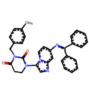 COc1ccc(CN2C(=O)CCN(c3cnc4cc(N=C(c5ccccc5)c5ccccc5)ccn34)C2=O)cc1